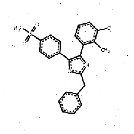 Cc1c(Cl)cccc1-c1nc(Cc2ccccc2)oc1-c1ccc(S(C)(=O)=O)cc1